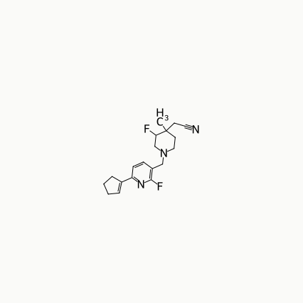 CC1(CC#N)CCN(Cc2ccc(C3=CCCC3)nc2F)CC1F